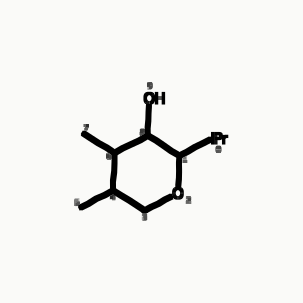 CC(C)C1OCC(C)C(C)C1O